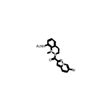 CC(=O)Nc1cccc2c1N(C)N(C(=O)c1cc3ccc(Br)cn3n1)CC2